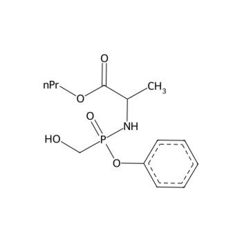 CCCOC(=O)C(C)NP(=O)(CO)Oc1ccccc1